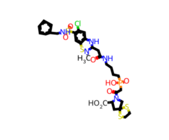 CN1Sc2cc(S(=O)(=O)NCc3ccccc3)c(Cl)cc2NC1CC(=O)NCCCCP(=O)(O)CC(=O)N1CC2(CC1C(=O)O)SCCS2